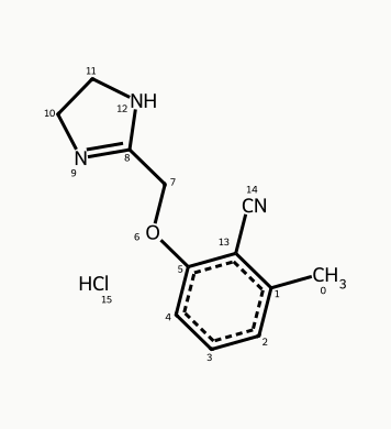 Cc1cccc(OCC2=NCCN2)c1C#N.Cl